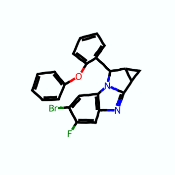 Fc1cc2nc3n(c2cc1Br)C(c1ccccc1Oc1ccccc1)C1CC31